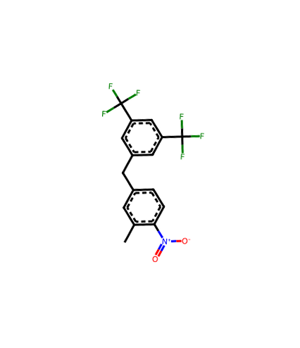 Cc1cc(Cc2cc(C(F)(F)F)cc(C(F)(F)F)c2)ccc1[N+](=O)[O-]